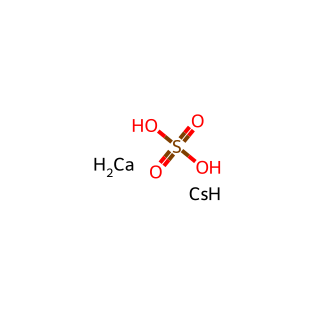 O=S(=O)(O)O.[CaH2].[CsH]